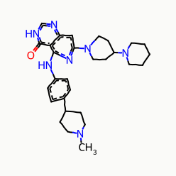 CN1CCC(c2ccc(Nc3nc(N4CCC(N5CCCCC5)CC4)cc4nc[nH]c(=O)c34)cc2)CC1